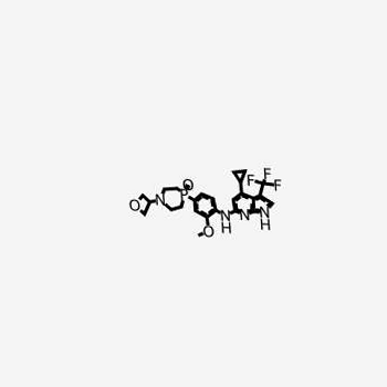 COc1cc(P2(=O)CCN(C3COC3)CC2)ccc1Nc1cc(C2CC2)c2c(C(F)(F)F)c[nH]c2n1